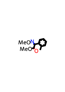 CO/N=C(\C(=O)OC)c1ccccc1C